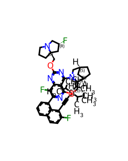 CC[C@@H]1Oc2nc(-c3cccc4ccc(F)c(C#C[Si](C(C)C)(C(C)C)C(C)C)c34)c(F)c3nc(OC[C@@]45CCCN4C[C@H](F)C5)nc(c23)N2C[C@H]3CC[C@H](C3)[C@@H]12